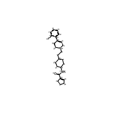 O=C(NC1CCC(CCN2CC=C(c3ccccc3F)CC2)CC1)C1=CCCC1